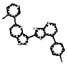 Cc1ccncc1-c1ccc2[nH]nc(-c3nc4c(-c5ccc(F)cc5)ccnc4[nH]3)c2n1